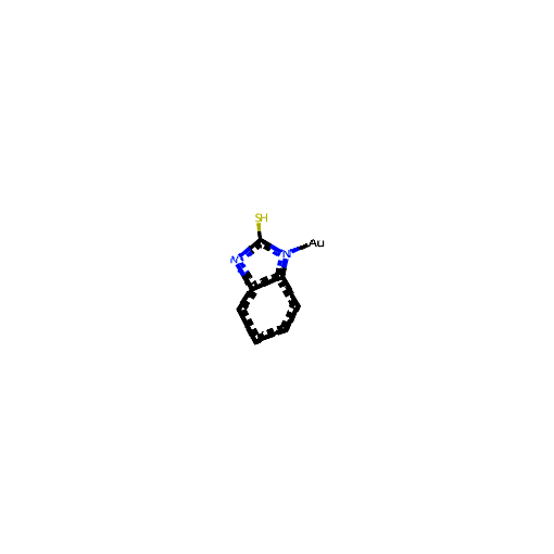 Sc1nc2ccccc2[n]1[Au]